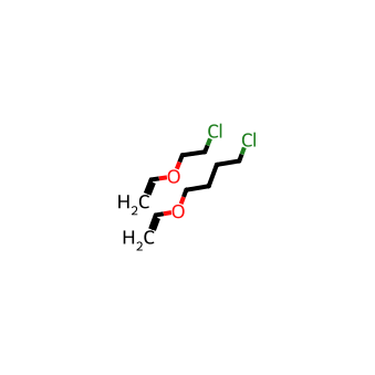 C=COCCCCCl.C=COCCCl